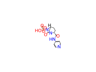 O=C(Nc1ccncc1)[C@@H]1CC[C@H]2CN1C(=O)N2OS(=O)(=O)O